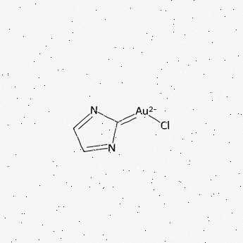 [Cl][Au-2]=[C]1N=CC=N1